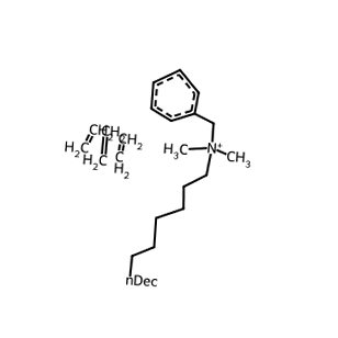 C=C.C=C.C=C.CCCCCCCCCCCCCCCC[N+](C)(C)Cc1ccccc1